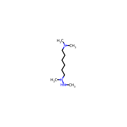 CNN(C)CCCCCCN(C)C